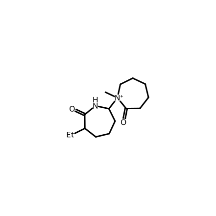 CCC1CCCC([N+]2(C)CCCCCC2=O)NC1=O